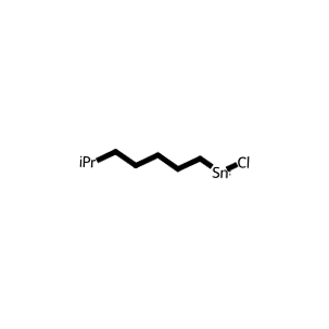 CC(C)CCCC[CH2][Sn][Cl]